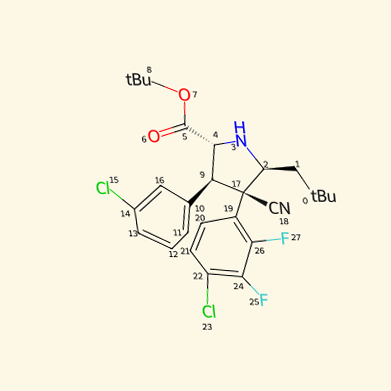 CC(C)(C)C[C@@H]1N[C@@H](C(=O)OC(C)(C)C)[C@H](c2cccc(Cl)c2)[C@@]1(C#N)c1ccc(Cl)c(F)c1F